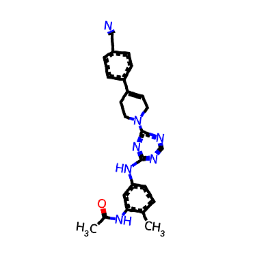 CC(=O)Nc1cc(Nc2ncnc(N3CC=C(c4ccc(C#N)cc4)CC3)n2)ccc1C